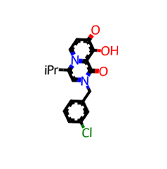 CC(C)c1cn(Cc2cccc(Cl)c2)c(=O)c2c(O)c(=O)ccn12